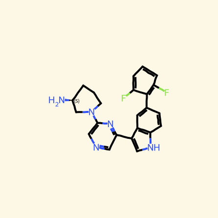 N[C@H]1CCCN(c2cncc(-c3c[nH]c4ccc(-c5c(F)cccc5F)cc34)n2)C1